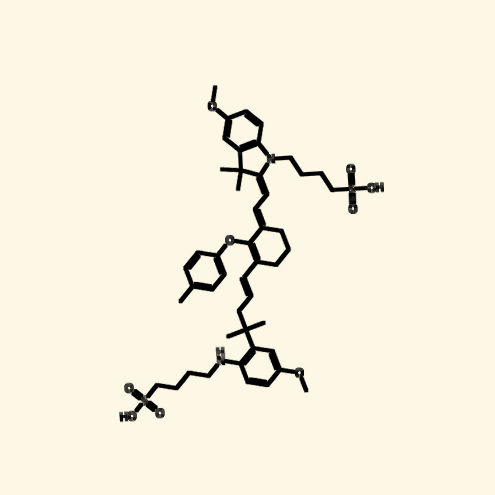 COc1ccc(NCCCCS(=O)(=O)O)c(C(C)(C)C/C=C/C2=C(Oc3ccc(C)cc3)C(=C/C=C3/N(CCCCS(=O)(=O)O)c4ccc(OC)cc4C3(C)C)/CCC2)c1